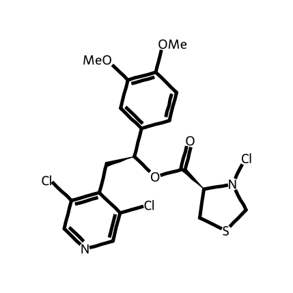 COc1ccc([C@H](Cc2c(Cl)cncc2Cl)OC(=O)[C@@H]2CSCN2Cl)cc1OC